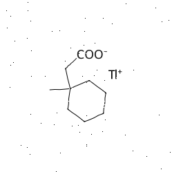 CC1(CC(=O)[O-])CCCCC1.[Tl+]